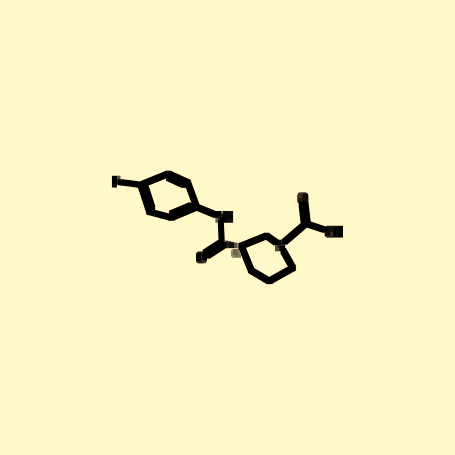 O=C(Nc1ccc(F)cc1)[C@H]1CCCN(C(=O)O)C1